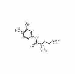 CNCCN(C)C(=O)Oc1ccc(O)c(O)c1